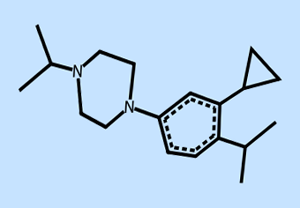 CC(C)c1ccc(N2CCN(C(C)C)CC2)cc1C1CC1